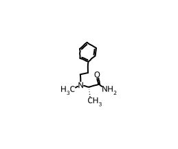 C[C@@H](C(N)=O)N(C)CCc1ccccc1